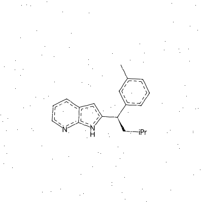 Cc1cccc([C@@H](CC(C)C)c2cc3cccnc3[nH]2)c1